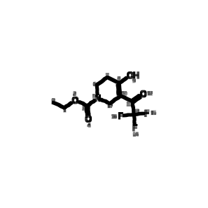 CCOC(=O)N1CCC(O)=C(C(=O)C(F)(F)F)C1